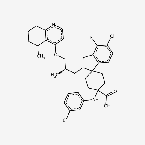 C[C@@H](COc1ccnc2c1[C@H](C)CCC2)CC1Cc2c(ccc(Cl)c2F)C12CCC(Nc1cccc(Cl)c1)(C(=O)O)CC2